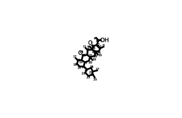 CC1=C(C(C)O)C(=O)C2(C)C(C)C3C(=O)C4C(C)CCC(C5CCC(C)C(C)C5)C4CC3(C)CC2(C)C1